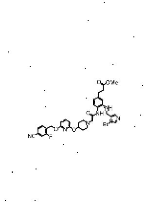 CCn1cncc1CNc1cc(CCC(=O)OC)ccc1NC(=O)CN1CCC(Oc2cccc(OCc3ccc(C#N)cc3F)n2)CC1